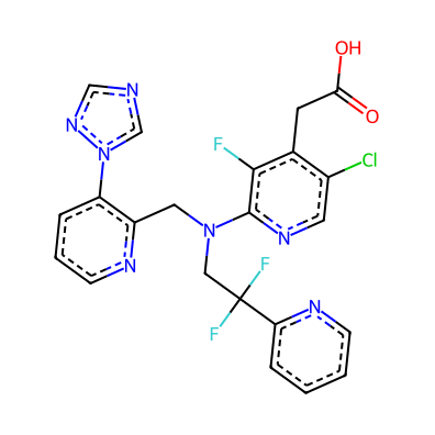 O=C(O)Cc1c(Cl)cnc(N(Cc2ncccc2-n2cncn2)CC(F)(F)c2ccccn2)c1F